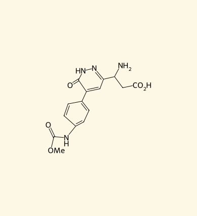 COC(=O)Nc1ccc(-c2cc(C(N)CC(=O)O)n[nH]c2=O)cc1